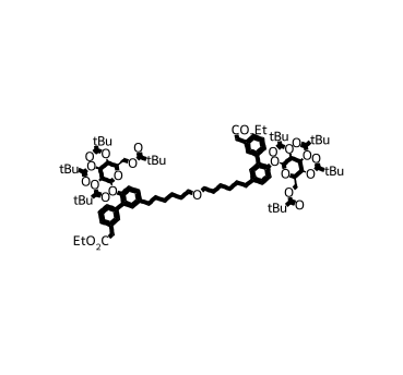 CCOC(=O)Cc1cccc(-c2cc(CCCCCCOCCCCCCc3ccc(O[C@H]4O[C@H](COC(=O)C(C)(C)C)[C@@H](OC(=O)C(C)(C)C)[C@H](OC(=O)C(C)(C)C)[C@@H]4OC(=O)C(C)(C)C)c(-c4cccc(CC(=O)OCC)c4)c3)ccc2O[C@H]2O[C@H](COC(=O)C(C)(C)C)[C@@H](OC(=O)C(C)(C)C)[C@H](OC(=O)C(C)(C)C)[C@@H]2OC(=O)C(C)(C)C)c1